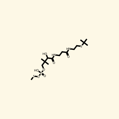 CSOP(=O)(O)OCC(C)(C)C(O)C(=O)NCCC(=O)NCCSC(C)(C)C